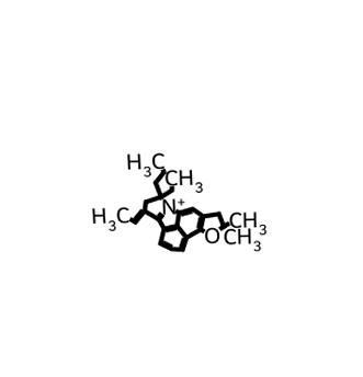 C/C=C1\CC(CC)(CCC)[N+]2=C1c1cccc3c4c(cc2c13)CC(C)(C)O4